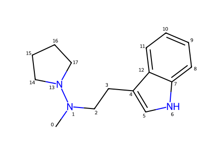 CN(CCc1c[nH]c2ccccc12)N1CCCC1